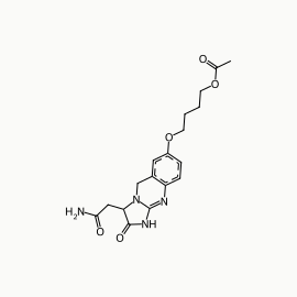 CC(=O)OCCCCOc1ccc2c(c1)CN1C(=N2)NC(=O)C1CC(N)=O